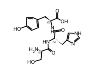 N[C@@H](CO)C(=O)N[C@@H](Cc1c[nH]cn1)C(=O)N[C@@H](Cc1ccc(O)cc1)C(=O)O